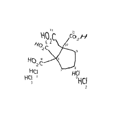 Cl.Cl.Cl.Cl.O=C(O)C1(C(=O)O)CCCC1(C(=O)O)C(=O)O